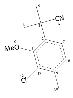 COc1c(C(C)(C)C#N)ccc(C)c1Cl